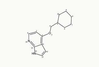 c1cc(OCC2CCCCC2)c2cc[nH]c2n1